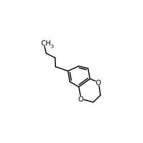 CCCCc1ccc2c(c1)OCCO2